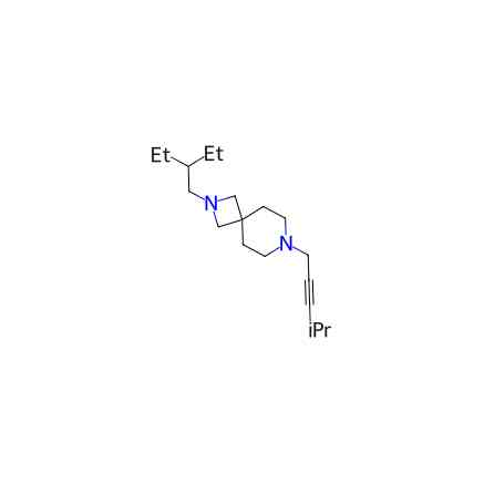 CCC(CC)CN1CC2(CCN(CC#CC(C)C)CC2)C1